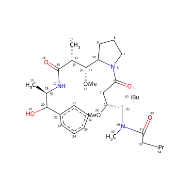 CC[C@H](C)[C@@H](C(CC(=O)N1CCCC1[C@H](OC)[C@@H](C)C(=O)N[C@H](C)C(O)c1ccccc1)OC)N(C)C(=O)CC(C)C